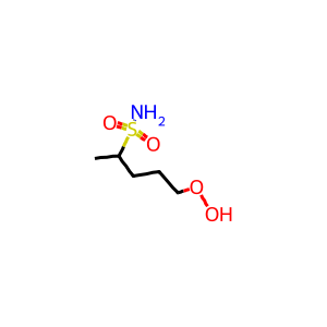 CC(CCCOO)S(N)(=O)=O